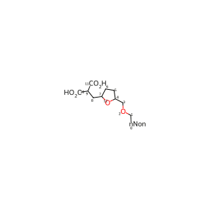 CCCCCCCCCCOCC1CCC(CC(C(=O)O)C(=O)O)O1